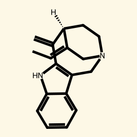 C=C1c2[nH]c3ccccc3c2CN2CC[C@H]1/C(=C\C)C2